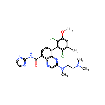 COc1cc(C)c(Cl)c(-c2ccc(C(=O)Nc3ncc[nH]3)c3ncc(N(C)CCN(C)C)nc23)c1Cl